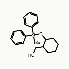 CC(C)(C)[Si](OC1CCCCC1CO)(c1ccccc1)c1ccccc1